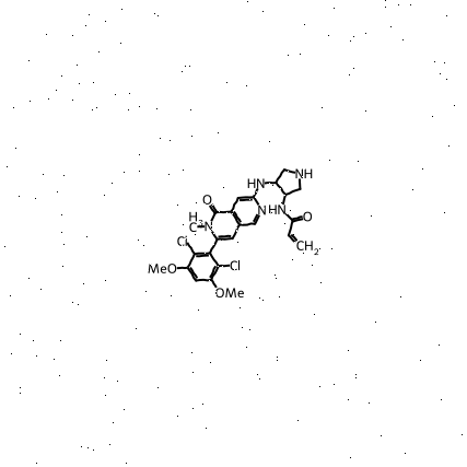 C=CC(=O)NC1CNCC1Nc1cc2c(=O)n(C)c(-c3c(Cl)c(OC)cc(OC)c3Cl)cc2cn1